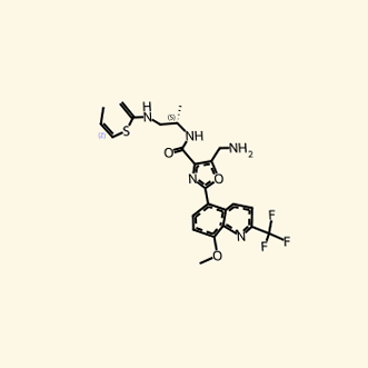 C=C(NC[C@H](C)NC(=O)c1nc(-c2ccc(OC)c3nc(C(F)(F)F)ccc23)oc1CN)S/C=C\C